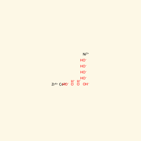 [Co+2].[Ni+2].[OH-].[OH-].[OH-].[OH-].[OH-].[OH-].[OH-].[OH-].[Zr+4]